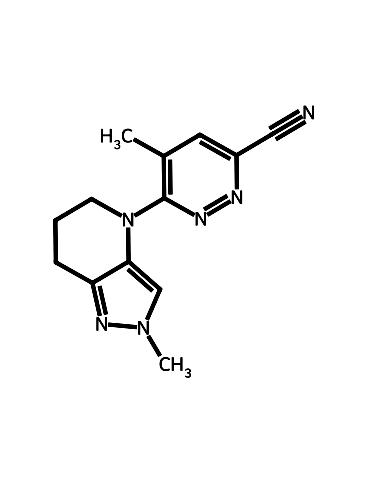 Cc1cc(C#N)nnc1N1CCCc2nn(C)cc21